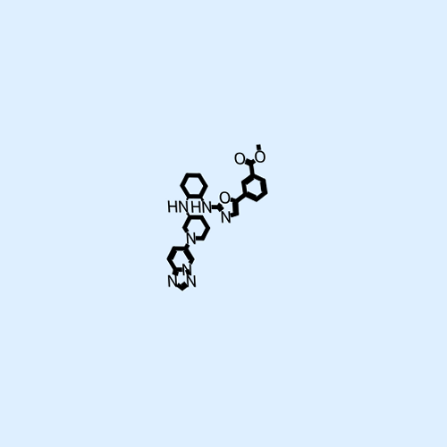 COC(=O)c1cccc(-c2cnc(N[C@@H]3CCCC[C@H]3N[C@H]3CCCN(c4ccc5ncnn5c4)C3)o2)c1